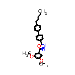 CCCCCc1ccc(-c2ccc(-c3nnc(-c4cc(OC)cc(OC)c4)o3)cc2)cc1